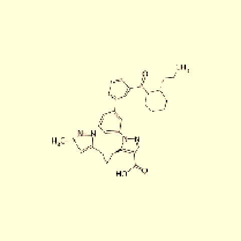 CCC[C@@H]1CCCCN1C(=O)c1cccc(-c2cccc(-n3ncc(C(=O)O)c3[C@H]3CC3c3cn(C)nn3)c2)c1